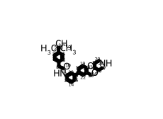 CC(C)(C)c1ccc(CC(=O)Nc2cccc(-c3ccc4c(c3)COC3(CCNCC3)O4)c2)cc1